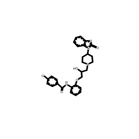 O=C(Nc1ccccc1OCC(O)CN1CCC(n2c(=O)oc3ccccc32)CC1)c1ccc(Cl)cc1